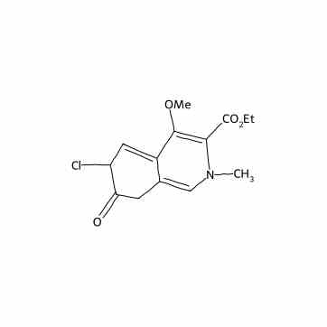 CCOC(=O)C1=C(OC)C2=CC(Cl)C(=O)CC2=CN1C